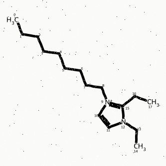 CCCCCCCCC[n+]1ccn(CC)c1CC